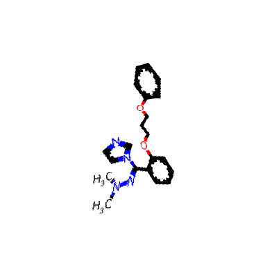 CN(C)N=C(c1ccccc1OCCCOc1ccccc1)n1ccnc1